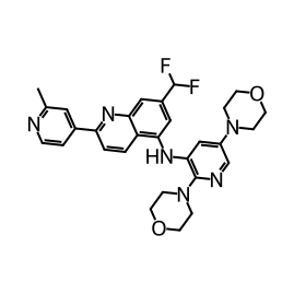 Cc1cc(-c2ccc3c(Nc4cc(N5CCOCC5)cnc4N4CCOCC4)cc(C(F)F)cc3n2)ccn1